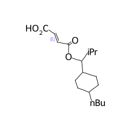 CCCCC1CCC(C(OC(=O)/C=C/C(=O)O)C(C)C)CC1